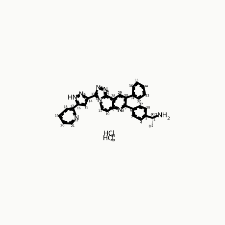 C[C@@H](N)c1ccc(-c2nc3ccn4c(-c5cc(-c6ccccn6)[nH]n5)nnc4c3cc2-c2ccccc2)cc1.Cl.Cl